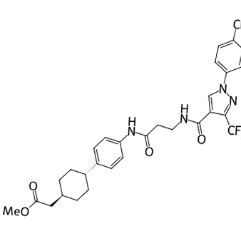 COC(=O)C[C@H]1CC[C@H](c2ccc(NC(=O)CCNC(=O)c3cn(-c4ccc(Cl)cc4)nc3C(F)(F)F)cc2)CC1